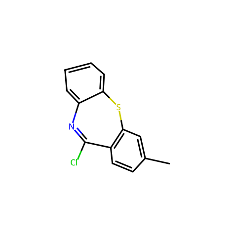 Cc1ccc2c(c1)Sc1ccccc1N=C2Cl